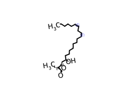 CCCCC/C=C\C/C=C\CCCCCCCC(O)C[C@H]1OC(=O)[C@@H]1CC